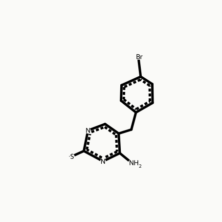 Nc1nc([S])ncc1Cc1ccc(Br)cc1